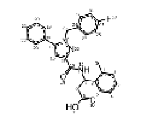 Cc1ccccc1C(CC(=O)O)NC(=O)c1cc(-c2ccccc2)n(Cc2ccc(F)cc2)n1